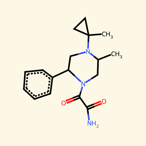 CC1CN(C(=O)C(N)=O)C(c2ccccc2)CN1C1(C)CC1